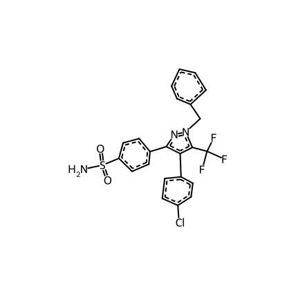 NS(=O)(=O)c1ccc(-c2nn(Cc3ccccc3)c(C(F)(F)F)c2-c2ccc(Cl)cc2)cc1